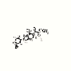 COC(=O)C(=O)c1c(C)nc2cc(-c3cccc(Br)c3)nn2c1Cl